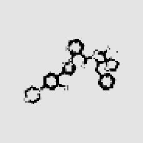 NC(=O)C1(C(Cc2ccccc2)NC(=O)c2cccnc2-n2ccc(-c3ccc(N4CCOCC4)cc3Cl)n2)OCCO1